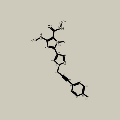 CCCNC(=O)c1c(NCCC)nc(-c2cnn(CC#Cc3ccc(F)cc3)c2)n1C